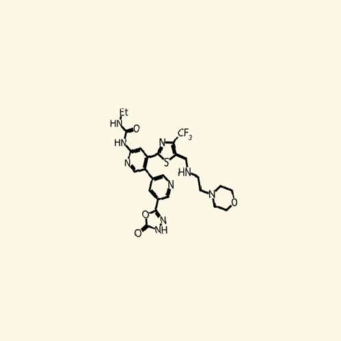 CCNC(=O)Nc1cc(-c2nc(C(F)(F)F)c(CNCCN3CCOCC3)s2)c(-c2cncc(-c3n[nH]c(=O)o3)c2)cn1